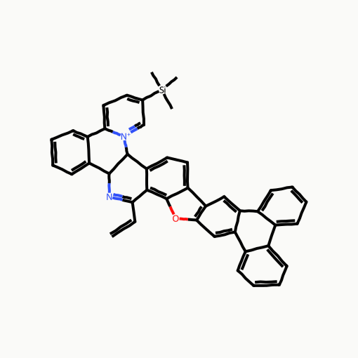 C=CC1=NC2c3ccccc3-c3ccc([Si](C)(C)C)c[n+]3C2c2ccc3c(oc4cc5c6ccccc6c6ccccc6c5cc43)c21